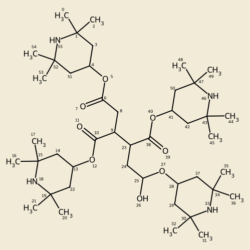 CC1(C)CC(OC(=O)CC(C(=O)OC2CC(C)(C)NC(C)(C)C2)C(CC(O)OC2CC(C)(C)NC(C)(C)C2)C(=O)OC2CC(C)(C)NC(C)(C)C2)CC(C)(C)N1